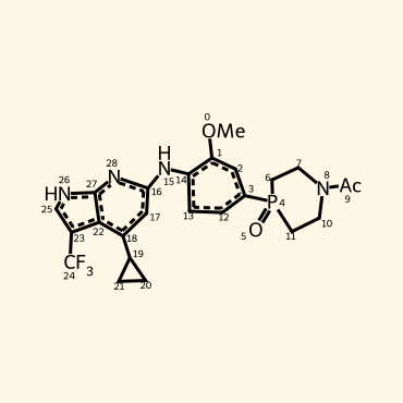 COc1cc(P2(=O)CCN(C(C)=O)CC2)ccc1Nc1cc(C2CC2)c2c(C(F)(F)F)c[nH]c2n1